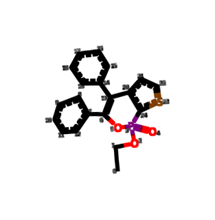 CCOP1(=O)OC(c2ccccc2)=C(c2ccccc2)c2ccsc21